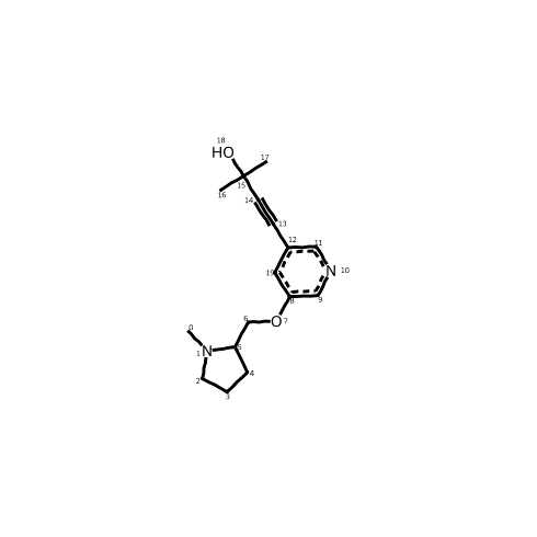 CN1CCCC1COc1cncc(C#CC(C)(C)O)c1